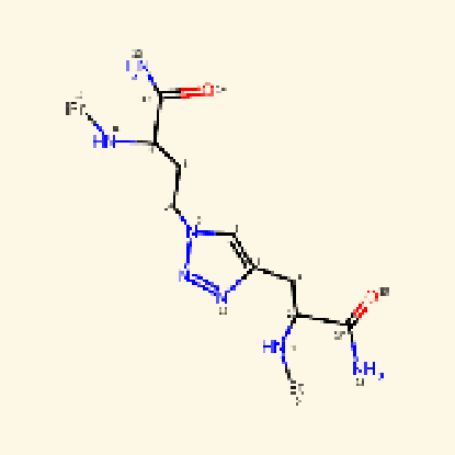 CCNC(Cc1cn(CCC(NC(C)C)C(N)=O)nn1)C(N)=O